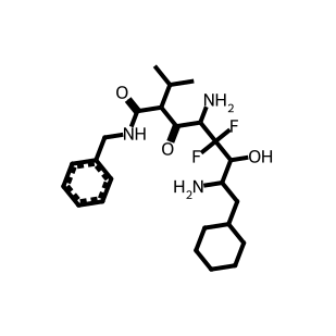 CC(C)C(C(=O)NCc1ccccc1)C(=O)C(N)C(F)(F)C(O)C(N)CC1CCCCC1